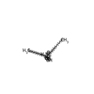 CCCCCCCCCCCCCCCCCC(=O)c1ccc(S(=O)(=O)O)c(C(=O)CCCCCCCCCCCCCCCCC)c1N